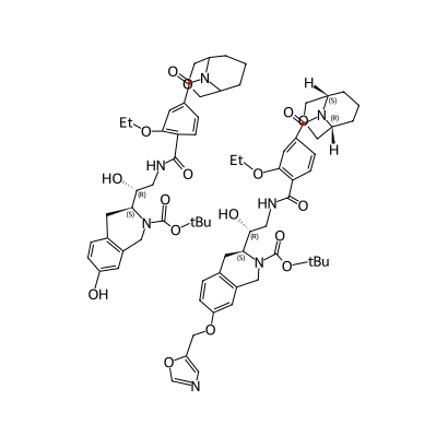 CCOc1cc(C(=O)N2C3CCCC2COC3)ccc1C(=O)NC[C@@H](O)[C@@H]1Cc2ccc(O)cc2CN1C(=O)OC(C)(C)C.CCOc1cc(C(=O)N2[C@@H]3CCC[C@H]2COC3)ccc1C(=O)NC[C@@H](O)[C@@H]1Cc2ccc(OCc3cnco3)cc2CN1C(=O)OC(C)(C)C